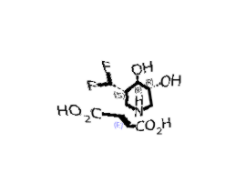 O=C(O)/C=C/C(=O)O.O[C@H]1[C@H](O)CNC[C@@H]1C(F)F